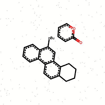 CCCCc1cc2c3c(ccc2c2ccccc12)CCCC3.O=c1cccco1